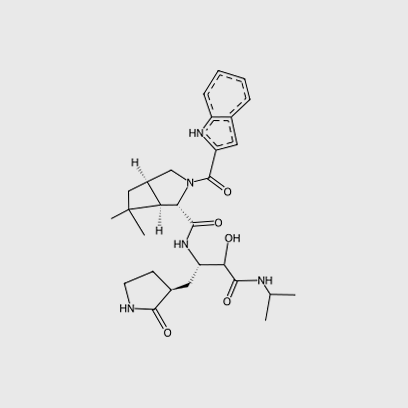 CC(C)NC(=O)C(O)[C@H](C[C@@H]1CCNC1=O)NC(=O)[C@@H]1[C@@H]2[C@H](CN1C(=O)c1cc3ccccc3[nH]1)CC2(C)C